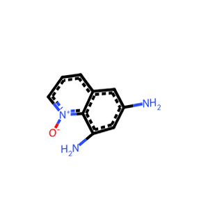 Nc1cc(N)c2c(ccc[n+]2[O-])c1